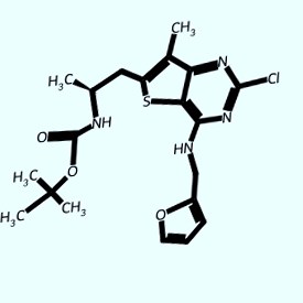 Cc1c(C[C@H](C)NC(=O)OC(C)(C)C)sc2c(NCc3ccco3)nc(Cl)nc12